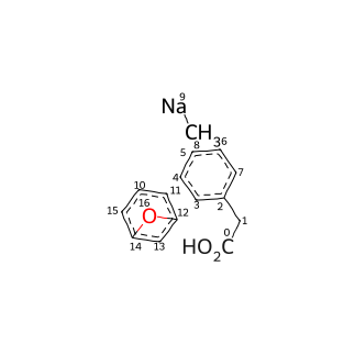 O=C(O)Cc1ccccc1.[CH3][Na].c1cc2cc(c1)O2